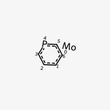 [Mo].c1ccpcc1